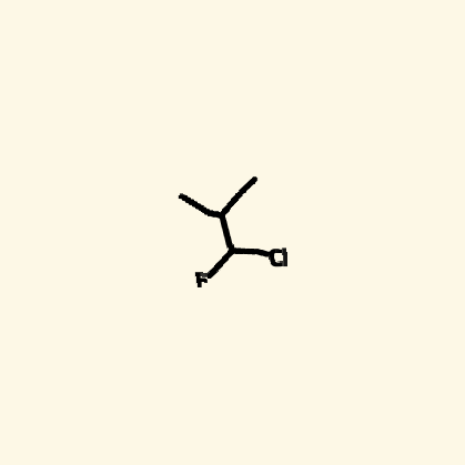 CC(C)C(F)Cl